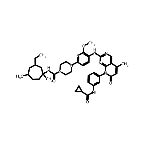 CCC1CC(C)CCC(C)(NC(=O)N2CCN(c3ccc(Nc4ncc5c(C)cc(=O)n(-c6cccc(NC(=O)C7CC7)c6)c5n4)c(OC)n3)CC2)C1